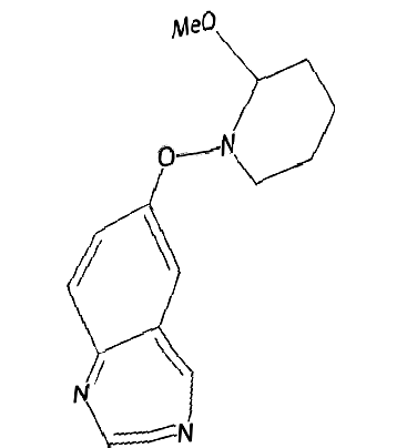 COC1CCCCN1Oc1ccc2ncncc2c1